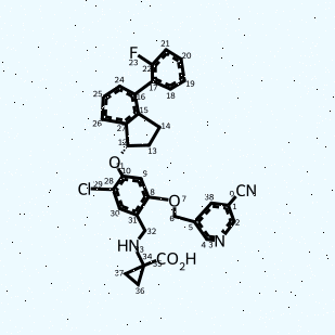 N#Cc1cncc(COc2cc(O[C@H]3CCc4c(-c5ccccc5F)cccc43)c(Cl)cc2CNC2(C(=O)O)CC2)c1